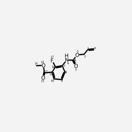 C=CCOC(=O)Nc1cccc(C(=O)OC)c1F